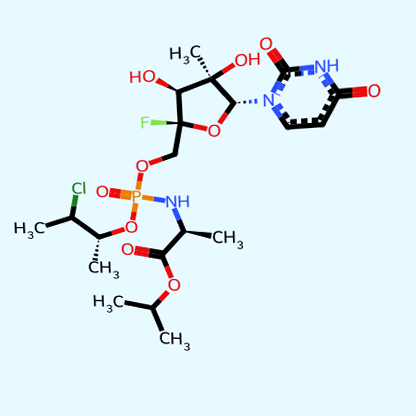 CC(C)OC(=O)[C@H](C)NP(=O)(OC[C@@]1(F)O[C@@H](n2ccc(=O)[nH]c2=O)[C@](C)(O)[C@@H]1O)O[C@H](C)C(C)Cl